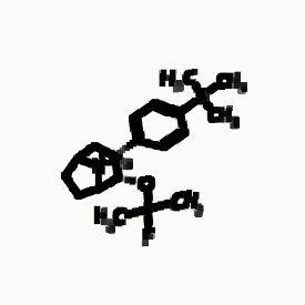 CN1C2CCC1[C@@H](OC(C)(C)F)[C@@H](c1ccc([Si](C)(C)C)cc1)C2